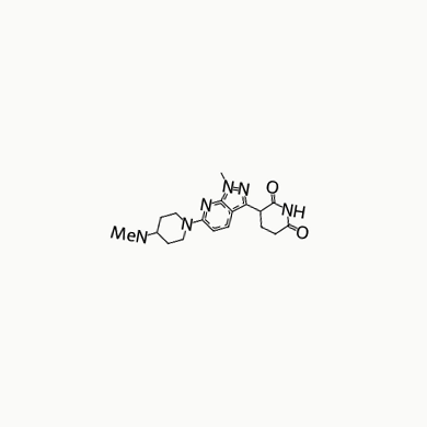 CNC1CCN(c2ccc3c(C4CCC(=O)NC4=O)nn(C)c3n2)CC1